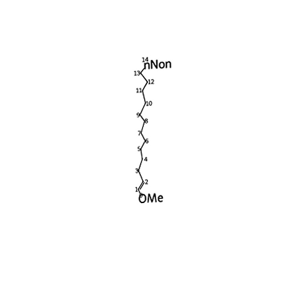 [CH2]O/C=C/CCCCCCCCCCCCCCCCCCCC